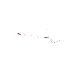 C/C=C(\C)CCO[C]=O